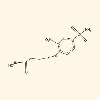 NS(=O)(=O)c1ccc(NCCCC(=O)NO)c([N+](=O)[O-])c1